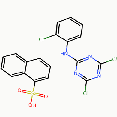 Clc1nc(Cl)nc(Nc2ccccc2Cl)n1.O=S(=O)(O)c1cccc2ccccc12